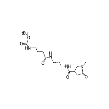 CN1CC(C(=O)NCCCNC(=O)CCCNC(=O)OC(C)(C)C)CC1=O